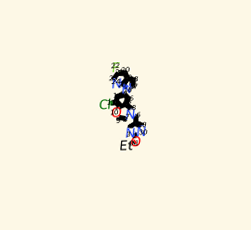 CCOc1ncc(CN2CCOc3c(Cl)cc(-n4ccc5cc(F)cnc54)cc3C2)cn1